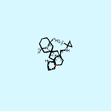 O=C(CNC1(C(=O)O)CC1)N(c1ccccc1)[C@H]1C[C@H]2CCC[C@@H](C1)N2[C@H]1C[C@@H]2CCC[C@@H](C2)C1